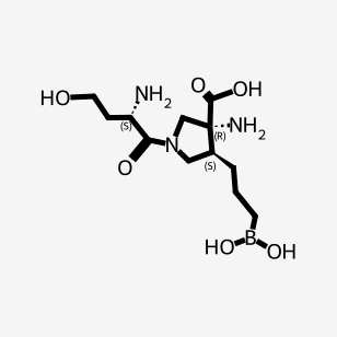 N[C@@H](CCO)C(=O)N1C[C@H](CCCB(O)O)[C@](N)(C(=O)O)C1